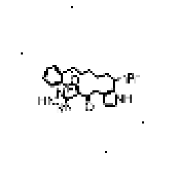 CCCC(CCCCCc1ccccc1F)c1[nH]ccc1CC(=O)C(=O)c1nn[nH]n1